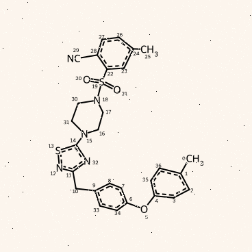 Cc1ccc(Oc2ccc(Cc3nsc(N4CCN(S(=O)(=O)c5cc(C)ccc5C#N)CC4)n3)cc2)cc1